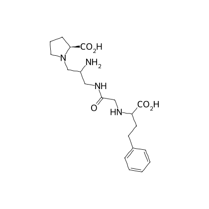 NC(CNC(=O)CNC(CCc1ccccc1)C(=O)O)CN1CCC[C@H]1C(=O)O